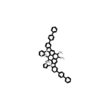 CC1c2cc3c4c(n(-c5ccc[nH]5)c3c3c2-c2c(cc5c6cc(-c7ccc(-c8ccccc8)cc7)ccc6n(-c6cccnc6)c5c2C(C)C3C)C1C)CCC(c1ccc(-c2ccccc2)cc1)=C4